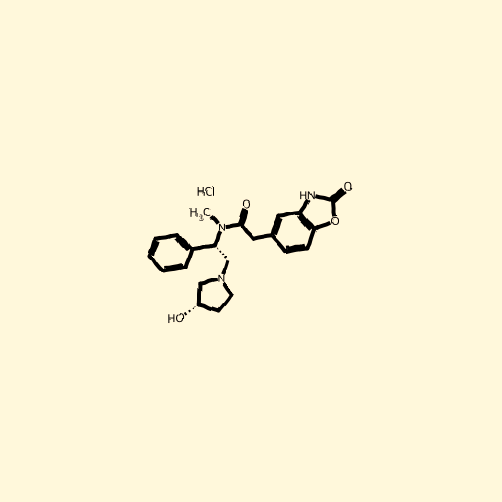 CN(C(=O)Cc1ccc2oc(=O)[nH]c2c1)[C@H](CN1CC[C@H](O)C1)c1ccccc1.Cl